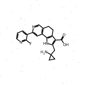 NC1(Cc2[nH]c3c(c2C(=O)O)CCc2cnc(-c4cccnc4F)cc2-3)CC1